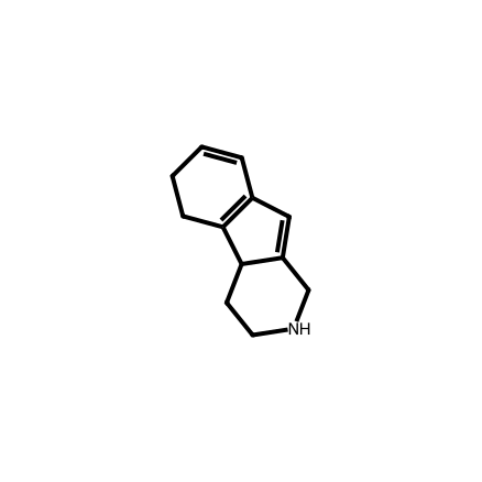 C1=CC2=C(CC1)C1CCNCC1=C2